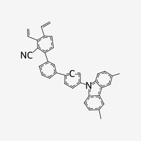 C=Cc1ccc(-c2cccc(-c3ccc(-n4c5ccc(C)cc5c5cc(C)ccc54)cc3)c2)c(C#N)c1C=C